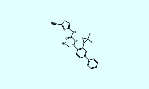 C#Cc1nc(NC(=O)N[C@@H](CO)c2ccc(-c3ccccc3)cc2C2CC2(F)F)cs1